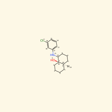 O[C@]12CCCC[C@@H]1CCCC2Nc1cccc(Cl)c1